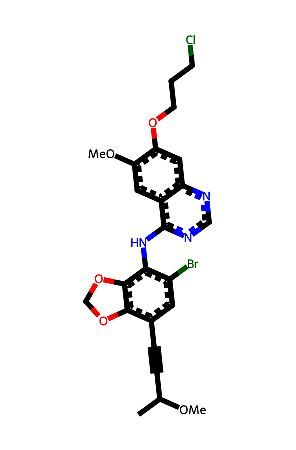 COc1cc2c(Nc3c(Br)cc(C#CC(C)OC)c4c3OCO4)ncnc2cc1OCCCCl